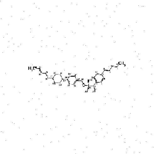 CC=CCCc1ccc(C(F)C(F)(F)OCc2ccc(C3CCC(CCC=CC)CC3)cc2)cc1